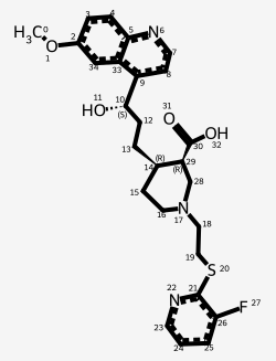 COc1ccc2nccc([C@@H](O)CC[C@@H]3CCN(CCSc4ncccc4F)C[C@@H]3C(=O)O)c2c1